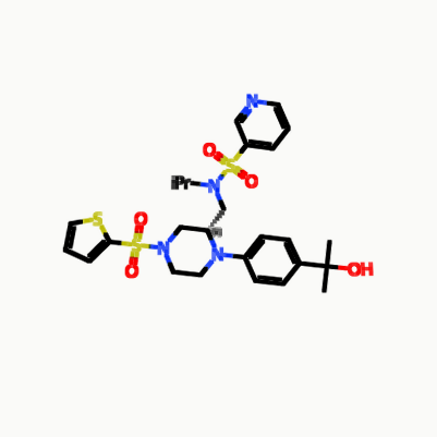 CC(C)N(C[C@H]1CN(S(=O)(=O)c2cccs2)CCN1c1ccc(C(C)(C)O)cc1)S(=O)(=O)c1cccnc1